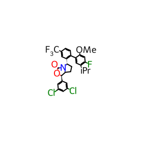 COc1cc(F)c(C(C)C)cc1-c1ccc(C(F)(F)F)cc1[C@@H]1CCC2[C@@H](c3cc(Cl)cc(Cl)c3)OC(=O)N21